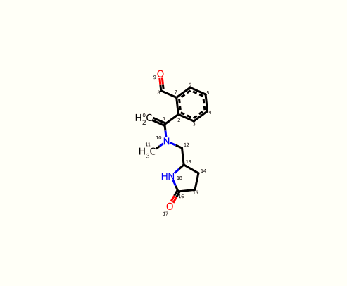 C=C(c1ccccc1C=O)N(C)CC1CCC(=O)N1